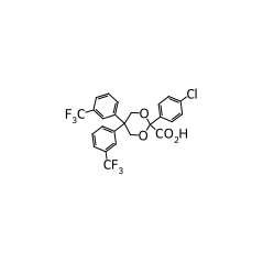 O=C(O)C1(c2ccc(Cl)cc2)OCC(c2cccc(C(F)(F)F)c2)(c2cccc(C(F)(F)F)c2)CO1